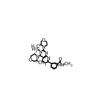 CNC(=O)c1cccc(C2=NC3=C(CC2)C(N2CCOC[C@@H]2C)N(C)C(N2CCOC[C@@H]2C)=N3)c1